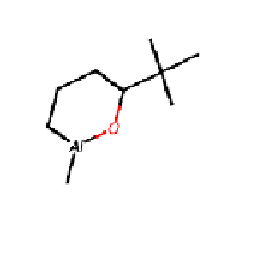 [CH3][Al]1[CH2]CCC(C(C)(C)C)[O]1